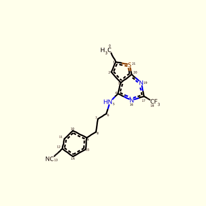 Cc1cc2c(NCCCc3ccc(C#N)cc3)nc(C(F)(F)F)nc2s1